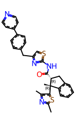 Cc1nc(C)c([C@@]2(C)c3ccccc3C[C@H]2C(=O)Nc2nc(Cc3ccc(-c4ccncc4)cc3)cs2)s1